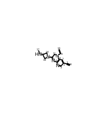 C#Cc1cnc2c(c1)N(C=C)CC(N1CC(NC)C1)=N2